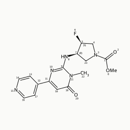 COC(=O)N1C[C@H](F)[C@H](Nc2nc(-c3ccncc3)cc(=O)n2C)C1